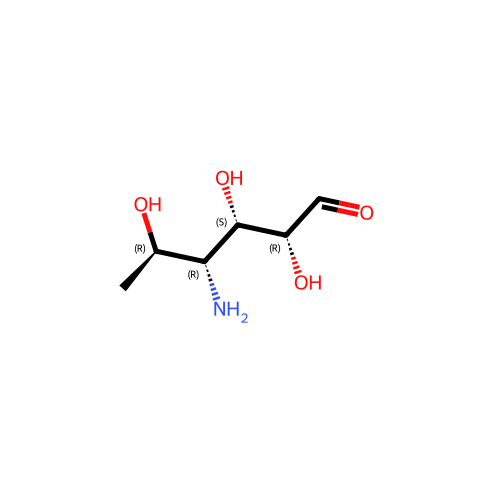 C[C@@H](O)[C@@H](N)[C@H](O)[C@@H](O)C=O